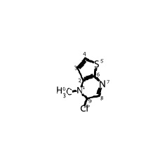 CN1c2ccsc2N=CC1Cl